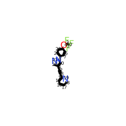 FC(F)(F)Oc1ccc(-n2cc(C#Cc3ccccn3)cn2)cc1